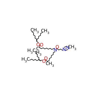 CCCCCCC(=CCOC(=O)C(C)CCCCCCCCN(CCCCCCCC(C)C(=O)OCC=C(CCCCCC)CCCCCC)C(=O)CCCN1CCN(C)CC1)CCCCCC